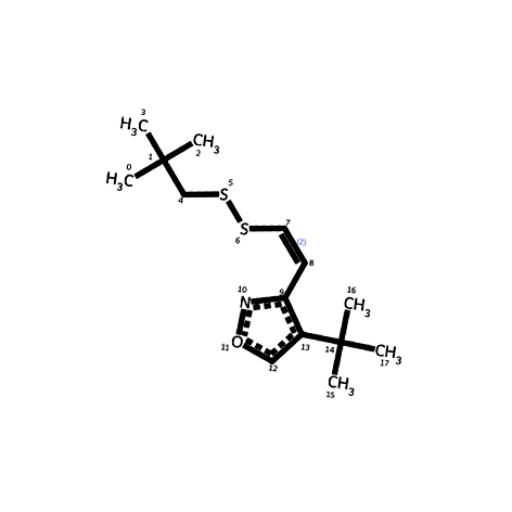 CC(C)(C)CSS/C=C\c1nocc1C(C)(C)C